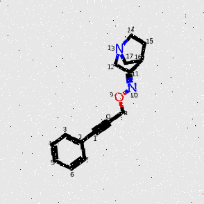 C(#Cc1ccccc1)CON=C1CN2CCC1C2